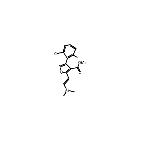 COC(=O)c1c(-c2c(F)cccc2Cl)noc1/C=C/[As](C)C